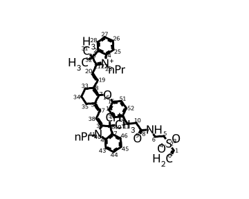 C=CS(=O)(=O)CCNC(=O)CCc1ccc(OC2=C(/C=C/C3=[N+](CCC)c4ccccc4C3(C)C)CCC/C2=C\C=C2\N(CCC)c3ccccc3C2(C)C)cc1